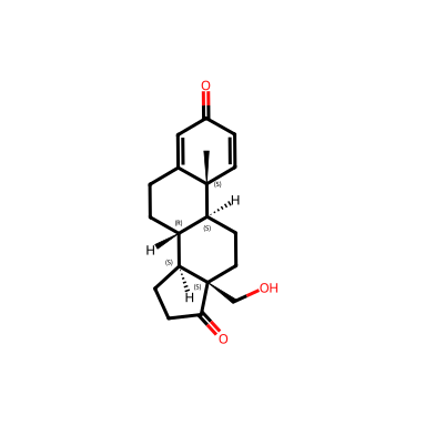 C[C@]12C=CC(=O)C=C1CC[C@H]1[C@@H]3CCC(=O)[C@@]3(CO)CC[C@@H]12